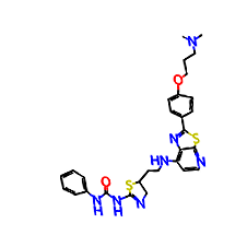 CN(C)CCCOc1ccc(-c2nc3c(NCCC4CN=C(NC(=O)Nc5ccccc5)S4)ccnc3s2)cc1